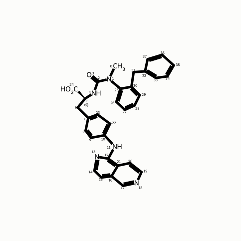 CN(C(=O)N[C@@H](Cc1ccc(Nc2nccc3cnccc23)cc1)C(=O)O)c1ccccc1Cc1ccccc1